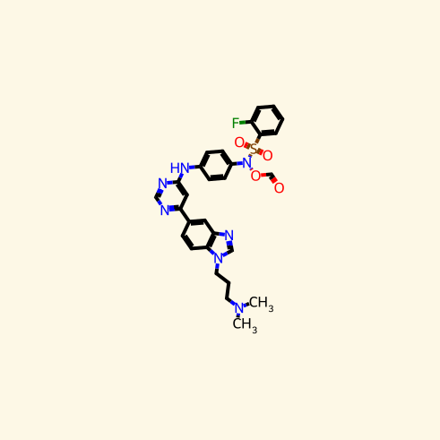 CN(C)CCCn1cnc2cc(-c3cc(Nc4ccc(N(OC=O)S(=O)(=O)c5ccccc5F)cc4)ncn3)ccc21